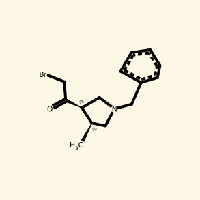 C[C@@H]1CN(Cc2ccccc2)C[C@@H]1C(=O)CBr